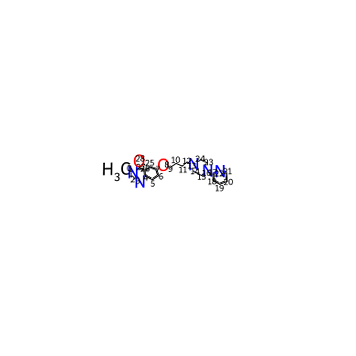 Cn1cnc2ccc(OCCCCN3CCN(c4ccccn4)CC3)cc2c1=O